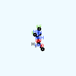 CC1(CNC(=O)Cc2ccccc2)COC(c2nc(-c3ccc(F)cc3)c(-c3ccnc(Nc4ccc(F)c(F)c4)n3)[nH]2)OC1